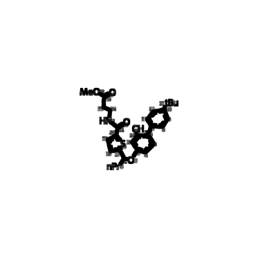 CCCC(Oc1ccc(-c2ccc(C(C)(C)C)cc2)c(C)c1)c1ccc(C(=O)NCCC(=O)OC)s1